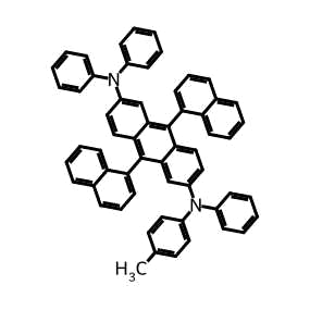 Cc1ccc(N(c2ccccc2)c2ccc3c(-c4cccc5ccccc45)c4cc(N(c5ccccc5)c5ccccc5)ccc4c(-c4cccc5ccccc45)c3c2)cc1